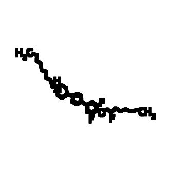 CCCCCCCCC[SiH]1CCC(c2ccc(-c3cc(F)c(OCC(F)CCCCCC)c(F)c3)cc2)CC1